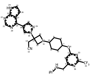 CC(C)NCc1cc(OC2CCC(N3CC(CC#N)(n4cc(-c5ncnc6[nH]ccc56)cn4)C3)CC2)nc(C(F)(F)F)n1